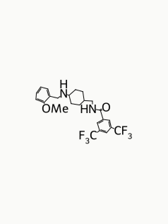 COc1ccccc1CNC1CCC(CNC(=O)c2cc(C(F)(F)F)cc(C(F)(F)F)c2)CC1